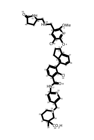 COc1nc(O[C@H]2CCc3c(-c4cccc(C(=O)Nc5ccc(CN6CCCC(C)(C(=O)O)C6)cn5)c4Cl)cccc32)c(Cl)cc1CNCC1CCC(=O)N1